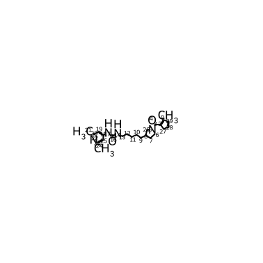 CC1=C(C(=O)N2CCC(CCCCCNC(=O)Nc3cc(C)nc(C)c3)C2)CC=C1